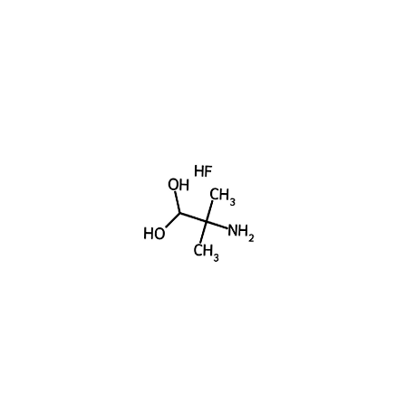 CC(C)(N)C(O)O.F